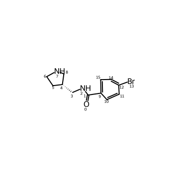 O=C(NC[C@@H]1CCNC1)c1ccc(Br)cc1